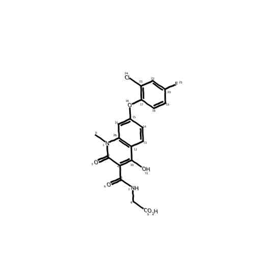 Cn1c(=O)c(C(=O)NCC(=O)O)c(O)c2ccc(Oc3ccc(F)cc3Cl)cc21